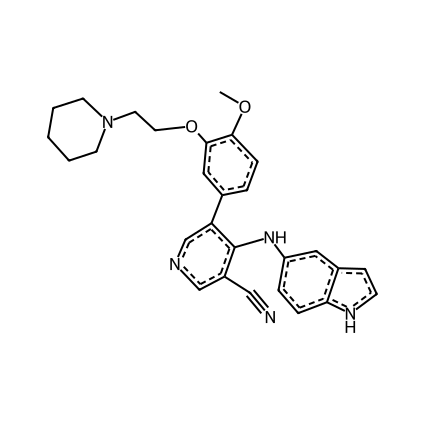 COc1ccc(-c2cncc(C#N)c2Nc2ccc3[nH]ccc3c2)cc1OCCN1CCCCC1